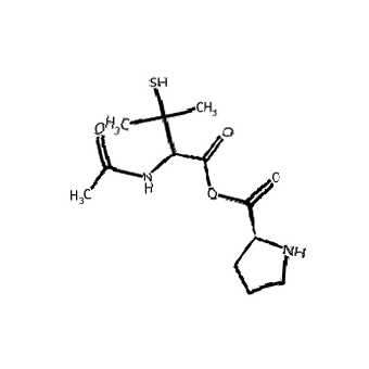 CC(=O)NC(C(=O)OC(=O)[C@@H]1CCCN1)C(C)(C)S